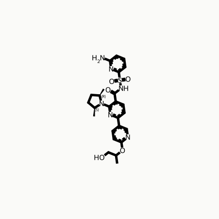 CC(CO)Oc1ccc(-c2ccc(C(=O)NS(=O)(=O)c3cccc(N)n3)c(N3[C@H](C)CC[C@@H]3C)n2)cn1